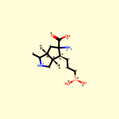 CC1NC[C@@H]2[C@H]1CC(N)(C(=O)O)[C@H]2CCCB(O)O